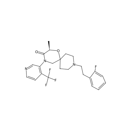 C[C@H]1OC2(CCN(CCc3ccccc3F)CC2)CN(c2cnccc2C(F)(F)F)C1=O